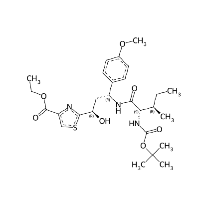 CCOC(=O)c1csc([C@H](O)C[C@@H](NC(=O)[C@@H](NC(=O)OC(C)(C)C)[C@H](C)CC)c2ccc(OC)cc2)n1